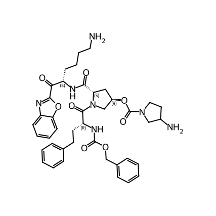 NCCCC[C@H](NC(=O)[C@@H]1C[C@@H](OC(=O)N2CCC(N)C2)CN1C(=O)[C@@H](CCc1ccccc1)NC(=O)OCc1ccccc1)C(=O)c1nc2ccccc2o1